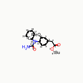 COc1cc(CC(=O)OC(C)(C)C)ccc1N(C(N)=O)c1ccccc1